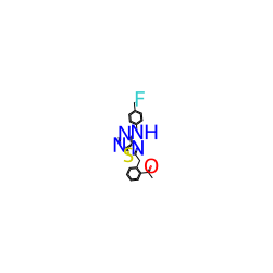 CC(=O)c1ccccc1Cc1nc2c(Nc3ccc(CF)cc3)ncnc2s1